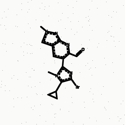 Cn1cc2cc(-c3nc(Br)c(C4CC4)n3C)c(C=O)nc2n1